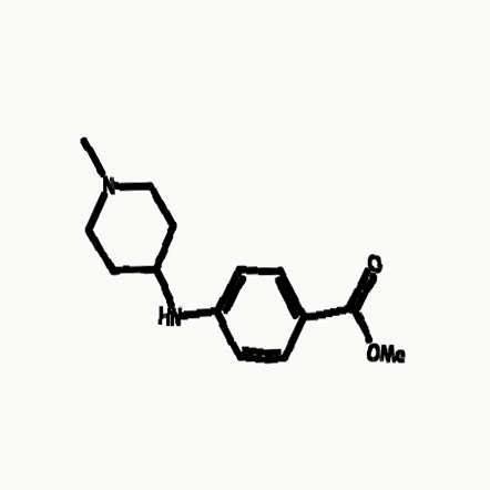 COC(=O)c1ccc(NC2CCN(C)CC2)cc1